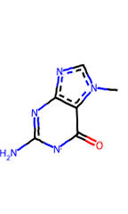 Cn1cnc2c1C(=O)[N]C(N)=N2